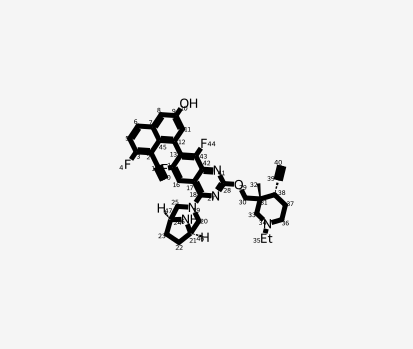 C#Cc1c(F)ccc2cc(O)cc(-c3c(F)cc4c(N5C[C@H]6CC[C@@H](C5)N6)nc(OC[C@@]5(C)CN(CC)CC[C@H]5C#C)nc4c3F)c12